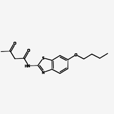 CCCCOc1ccc2nc(NC(=O)CC(C)=O)sc2c1